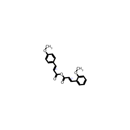 COc1ccc(/C=C/C(=O)OC(=O)/C=C/c2ccccc2OC)cc1